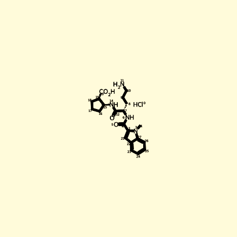 Cl.Cn1c(C(=O)N[C@@H](CCCN)C(=O)N[C@H]2CCC[C@H]2C(=O)O)cc2ccccc21